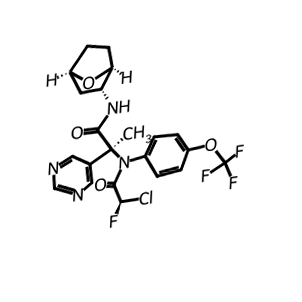 C[C@@](C(=O)N[C@@H]1C[C@H]2CC[C@@H]1O2)(c1cncnc1)N(C(=O)[C@H](F)Cl)c1ccc(OC(F)(F)F)cc1